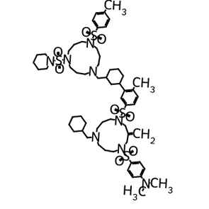 C=C1CN(S(=O)(=O)c2ccc(N(C)C)cc2)CCCN(CC2CCCCC2)CCCN(S(=O)(=O)c2ccc(C)c(C3CCCC(CN4CCCN(S(=O)(=O)c5ccc(C)cc5)CCCN(S(=O)(=O)N5CCCCC5)CCC4)C3)c2)C1